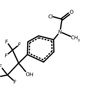 CN(C(=O)Cl)c1ccc(C(O)(C(F)(F)F)C(F)(F)F)cc1